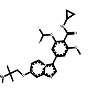 CNC(C)(C)COc1ccn2c(-c3cc(OC)c(C(=O)NC4CC4)c(OC(F)F)c3)cnc2c1